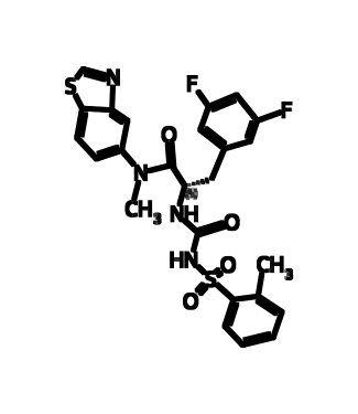 Cc1ccccc1S(=O)(=O)NC(=O)N[C@@H](Cc1cc(F)cc(F)c1)C(=O)N(C)c1ccc2scnc2c1